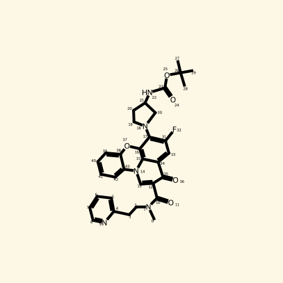 CN(CCc1ccccn1)C(=O)c1cn2c3c(c(N4CCC(NC(=O)OC(C)(C)C)C4)c(F)cc3c1=O)Oc1ccccc1-2